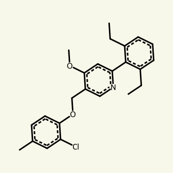 CCc1cccc(CC)c1-c1cc(OC)c(COc2ccc(C)cc2Cl)cn1